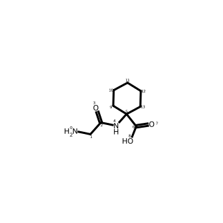 NCC(=O)NC1(C(=O)O)CCCCC1